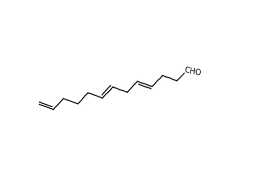 C=CCCCC=CCC=CCCC=O